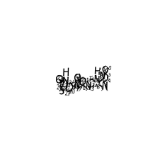 COc1ccc2nccc(NC3CCN(CC4CN(c5ccc6c(c5)NC(=O)CS6)C(=O)O4)CC3)c2n1